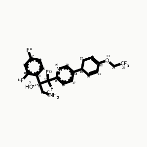 NC[C@@](O)(c1ccc(F)cc1F)C(F)(F)c1ccc(C2C=CC(OCC(F)(F)F)=CC2)cn1